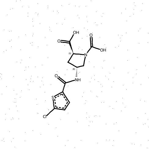 O=C(N[C@@H]1C[C@@H](C(=O)O)N(C(=O)O)C1)c1ccc(Cl)s1